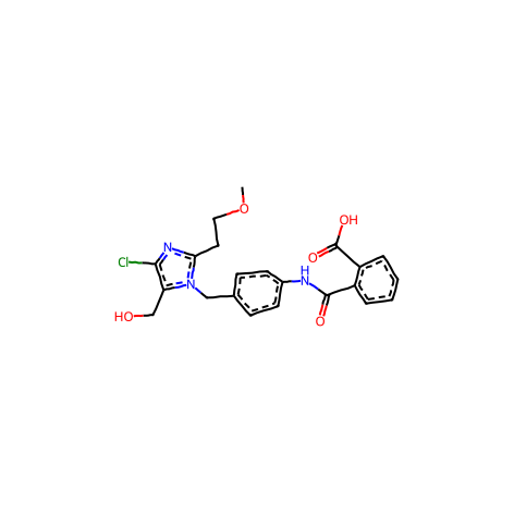 COCCc1nc(Cl)c(CO)n1Cc1ccc(NC(=O)c2ccccc2C(=O)O)cc1